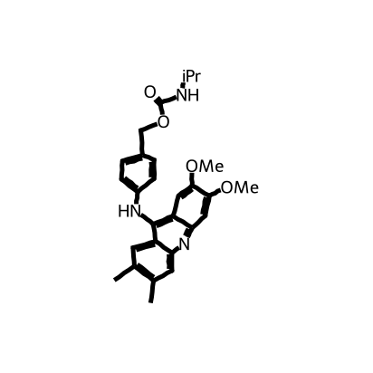 COc1cc2nc3cc(C)c(C)cc3c(Nc3ccc(COC(=O)NC(C)C)cc3)c2cc1OC